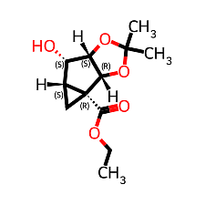 CCOC(=O)[C@]12C[C@@H]1[C@H](O)[C@@H]1OC(C)(C)O[C@@H]12